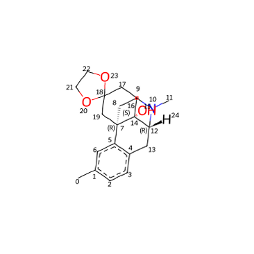 Cc1ccc2c(c1)[C@]13CCN(C)[C@H](C2)[C@]1(O)CCC1(C3)OCCO1